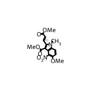 COC(=O)/C=C/c1c(C(=O)OC)c2c([N+](=O)[O-])c(OC)ccc2n1C